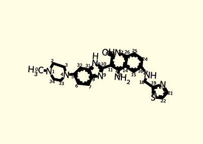 CN1CCN(c2ccc3nc(-c4c(N)c5cc(NCc6nccs6)ccc5[nH]c4=O)[nH]c3c2)CC1